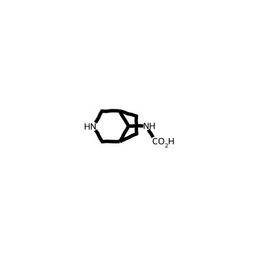 O=C(O)NC1C2CCC1CNC2